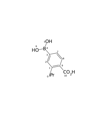 CC(C)c1cc(B(O)O)ccc1C(=O)O